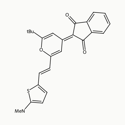 CNc1ccc(C=CC2=CC(=C3C(=O)c4ccccc4C3=O)C=C(C(C)(C)C)O2)s1